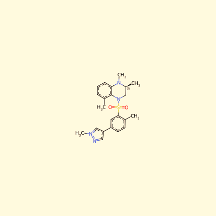 Cc1ccc(-c2cnn(C)c2)cc1S(=O)(=O)N1C[C@H](C)N(C)c2cccc(C)c21